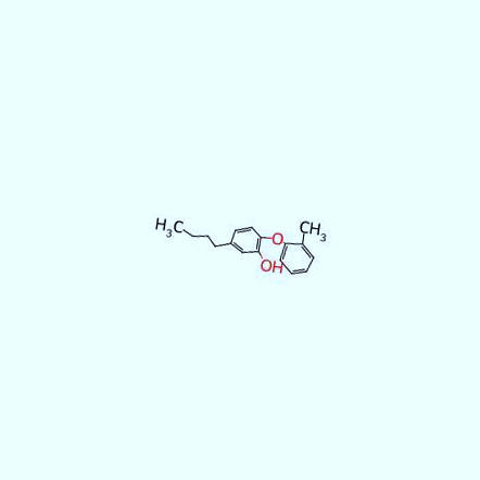 CCCCc1ccc(Oc2ccccc2C)c(O)c1